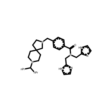 CCCC(CCC)N1CCC2(CCN(Cc3ccc(C(=O)N(Cc4ncc[nH]4)Cc4ncc[nH]4)cc3)C2)CC1